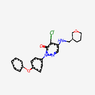 O=c1c(Cl)c(NC[C@@H]2CCCOC2)cnn1-c1ccc(Oc2ccccc2)cc1